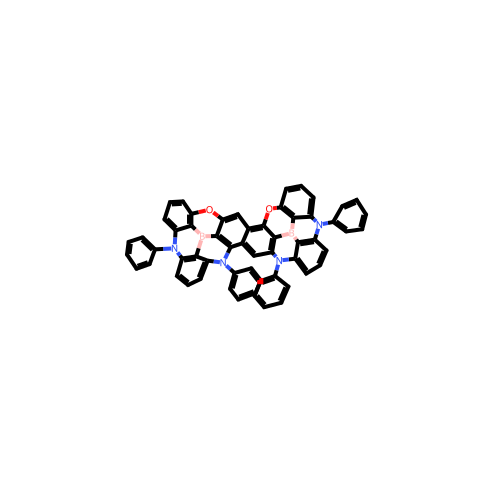 c1ccc(N2c3cccc4c3B3c5c2cccc5N(c2ccccc2)c2cc5c6c7c(cc5c(c23)O4)Oc2cccc3c2B7c2c(cccc2N6c2ccccc2)N3c2ccccc2)cc1